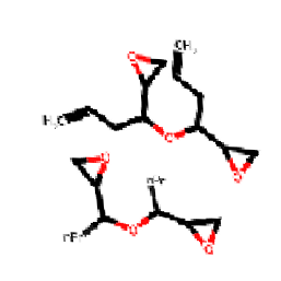 C=CCC(OC(CC=C)C1CO1)C1CO1.CCCC(OC(CCC)C1CO1)C1CO1